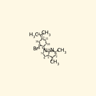 Cc1cc(C)c2ccn(-c3ccc(C(C)C)cc3Br)c2n1